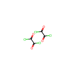 O=C(Cl)C(=O)Cl.O=C(Cl)C(=O)Cl